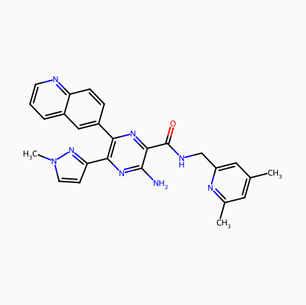 Cc1cc(C)nc(CNC(=O)c2nc(-c3ccc4ncccc4c3)c(-c3ccn(C)n3)nc2N)c1